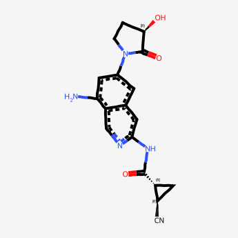 N#C[C@@H]1C[C@H]1C(=O)Nc1cc2cc(N3CC[C@@H](O)C3=O)cc(N)c2cn1